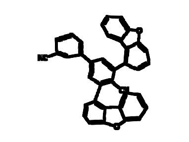 N#Cc1cccc(-c2cc(-c3cccc4oc5ccccc5c34)c(C#N)c(-c3cccc4oc5ccccc5c34)c2)c1